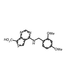 COc1ccc(CNc2ncnc3c(C(=O)O)scc23)c(OC)c1